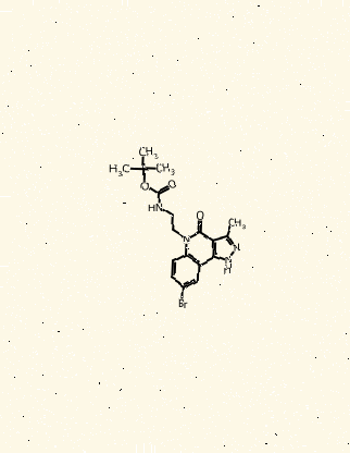 Cc1n[nH]c2c1c(=O)n(CCNC(=O)OC(C)(C)C)c1ccc(Br)cc21